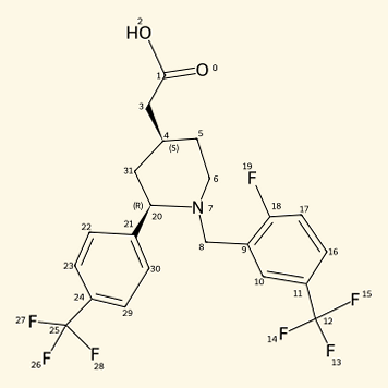 O=C(O)C[C@H]1CCN(Cc2cc(C(F)(F)F)ccc2F)[C@@H](c2ccc(C(F)(F)F)cc2)C1